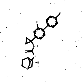 O=C(NC1(c2ccc(-c3ccc(F)cc3)c(F)c2)CC1)O[C@H]1CN2CCC1CC2